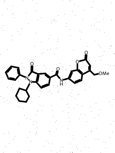 COCc1cc(=O)oc2cc(NC(=O)c3ccc4c(c3)c(=O)n(-c3ccccc3)n4C3CCCCC3)ccc12